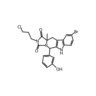 CC12Cc3c([nH]c4ccc(Br)cc34)C(c3cccc(O)c3)N1C(=O)N(CCCCl)C2=O